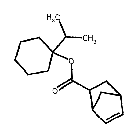 CC(C)C1(OC(=O)C2CC3C=CC2C3)CCCCC1